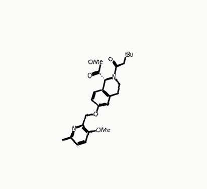 COC(=O)[C@H]1c2ccc(OCc3nc(C)ccc3OC)cc2CCN1C(=O)CC(C)(C)C